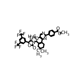 COC(=O)c1ccc(-c2ncc(OC)c(C3=C(CN4C(=O)OC(c5cc(C(F)(F)F)cc(C(F)(F)F)c5)[C@@H]4C)CC(C)(C)CC3)n2)cc1